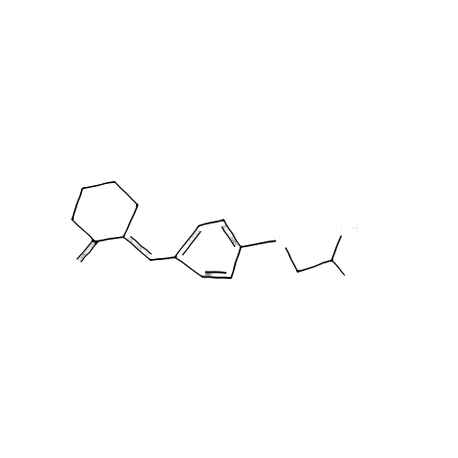 CC(C)CSc1ccc(C=C2CCCCC2=O)cc1